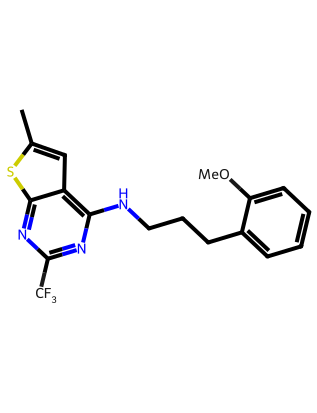 COc1ccccc1CCCNc1nc(C(F)(F)F)nc2sc(C)cc12